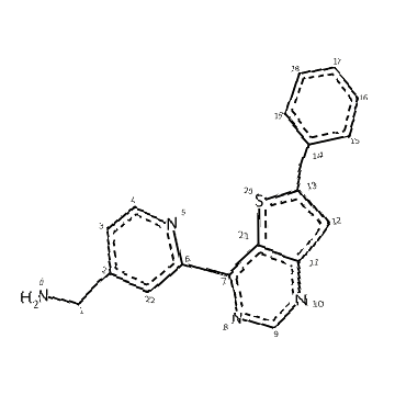 NCc1ccnc(-c2ncnc3cc(-c4ccccc4)sc23)c1